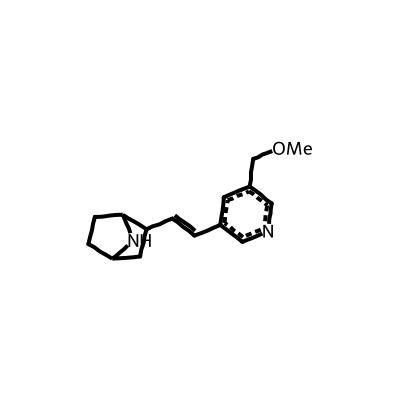 COCc1cncc(C=CC2CC3CCC2N3)c1